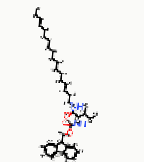 CCCCCCCCCCCCCCCCCCNC(=O)[C@@H](NC(=O)OCC1c2ccccc2-c2ccccc21)C(C)CC